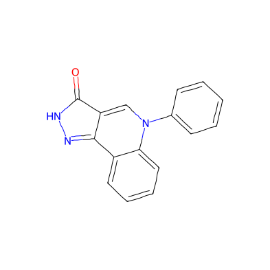 O=c1[nH]nc2c3ccccc3n(-c3ccccc3)cc1-2